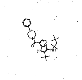 CC(C)(C)CC(C)(C)Nc1c(C(C)(C)C)[nH]c2c(C(=O)N3CCN(c4ccccc4)CC3)cnn12